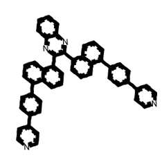 c1ccc2nc(-c3cccc4c(-c5ccc(-c6ccncc6)cc5)cccc34)c(-c3cccc4c(-c5ccc(-c6ccncc6)cc5)cccc34)nc2c1